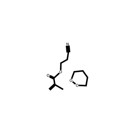 C1CCOOC1.C=C(C)C(=O)OCCC#N